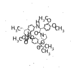 CC[C@H]1CNC(=O)c2cc(NC(C(=O)N3CCC[C@@H]3c3cc(NC(=O)OC)ccc3S(=O)(=O)C(C)C)c3ccc(OC)c(OC)c3)ccc21